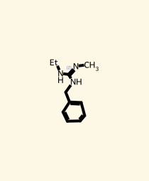 CCN/C(=N/C)NCc1ccccc1